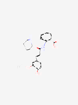 C1CCNCC1.COc1cc(/C=C/C(=O)Nc2ccccc2C(=O)O)ccc1O